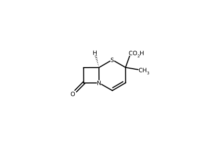 CC1(C(=O)O)C=CN2C(=O)C[C@H]2S1